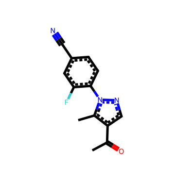 CC(=O)c1cnn(-c2ccc(C#N)cc2F)c1C